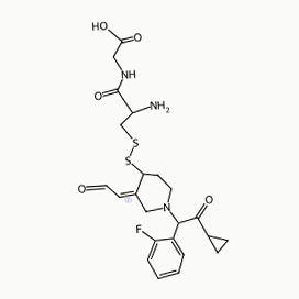 NC(CSSC1CCN(C(C(=O)C2CC2)c2ccccc2F)C/C1=C/C=O)C(=O)NCC(=O)O